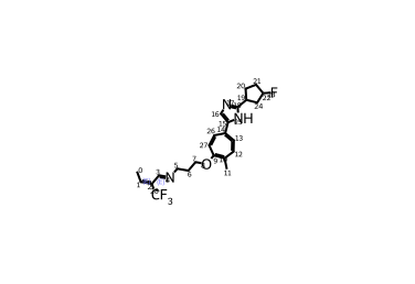 C/C=C(\C=N\CCCOC1=C(C)C=C=C(c2cnc(C3CCC(F)C3)[nH]2)C=C1)C(F)(F)F